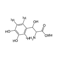 [2H]c1c([2H])c(C(O)C(N)C(=O)OC)c([2H])c(O)c1O